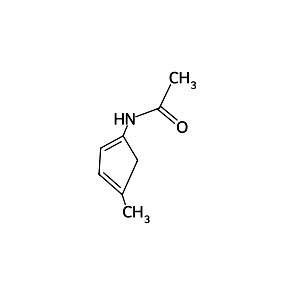 CC(=O)NC1=CC=C(C)C1